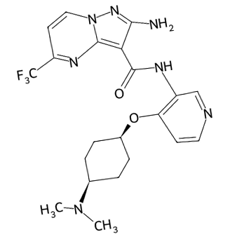 CN(C)[C@H]1CC[C@@H](Oc2ccncc2NC(=O)c2c(N)nn3ccc(C(F)(F)F)nc23)CC1